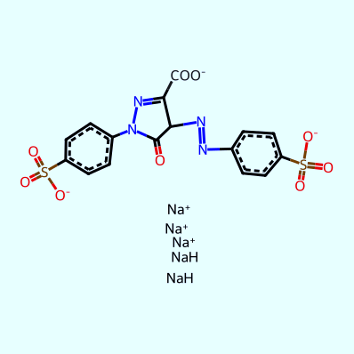 O=C([O-])C1=NN(c2ccc(S(=O)(=O)[O-])cc2)C(=O)C1N=Nc1ccc(S(=O)(=O)[O-])cc1.[Na+].[Na+].[Na+].[NaH].[NaH]